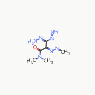 C=N/N=C(C(=O)N(C)C)\C(N=N)=N/N